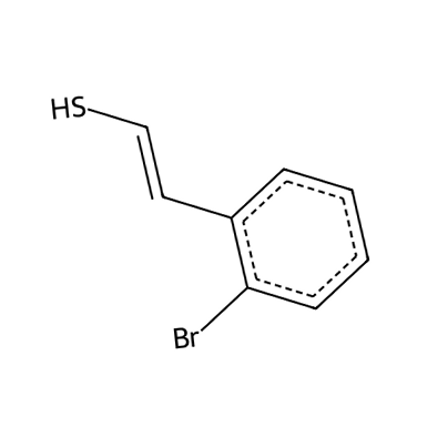 SC=Cc1ccccc1Br